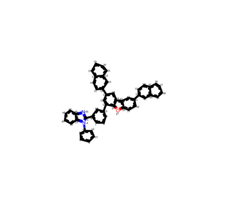 c1ccc(-n2c(-c3cccc(-c4cc(-c5ccc6ccccc6c5)cc5c4oc4ccc(-c6ccc7ccccc7c6)cc45)c3)nc3ccccc32)cc1